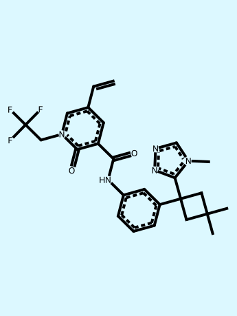 C=Cc1cc(C(=O)Nc2cccc(C3(c4nncn4C)CC(C)(C)C3)c2)c(=O)n(CC(F)(F)F)c1